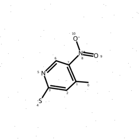 Cc1cc([S])ncc1[N+](=O)[O-]